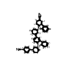 N#Cc1ccc(C2CCC=C(n3c4ccccc4c4cc(C5=CC(n6c7ccccc7c7cc(C#N)ccc76)=CCC5)ccc43)C2)cc1